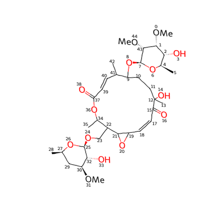 CO[C@@H]1[C@H](O)[C@@H](C)O[C@@H](OC2CCC(C)(O)C(=O)/C=C\C3OC3C(CO[C@@H]3O[C@H](C)C[C@H](OC)[C@H]3O)C(C)OC(=O)/C=C/C2C)[C@@H]1OC